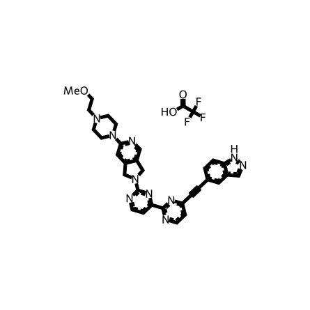 COCCN1CCN(c2cc3c(cn2)CN(c2nccc(-c4nccc(C#Cc5ccc6[nH]ncc6c5)n4)n2)C3)CC1.O=C(O)C(F)(F)F